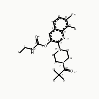 CCNC(=O)Oc1cc2ccc(F)c(C)c2nc1N1CCN(C(=O)C(C)(C)C)CC1